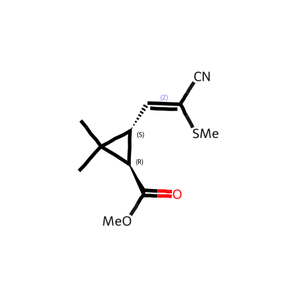 COC(=O)[C@@H]1[C@@H](/C=C(/C#N)SC)C1(C)C